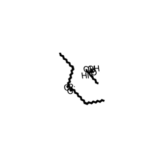 CCCCCCCC/C=C\CCCCCCCC(=O)[P]C(=O)CCCCCCC/C=C\CCCCCCCC.CCCCCNC(CO)C(=O)O